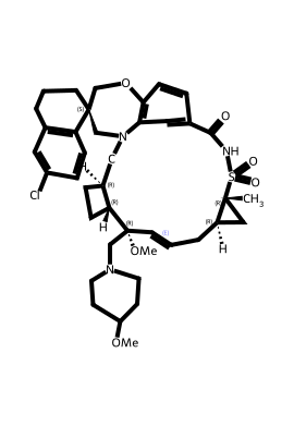 COC1CCN(C[C@]2(OC)/C=C/C[C@@H]3C[C@@]3(C)S(=O)(=O)NC(=O)c3ccc4c(c3)N(C[C@@H]3CC[C@H]32)C[C@@]2(CCCc3cc(Cl)ccc32)CO4)CC1